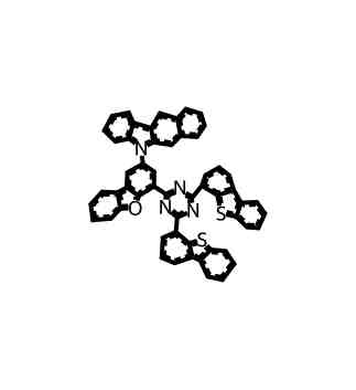 c1ccc2cc3c(cc2c1)c1ccccc1n3-c1cc(-c2nc(-c3cccc4c3sc3ccccc34)nc(-c3cccc4c3sc3ccccc34)n2)c2oc3ccccc3c2c1